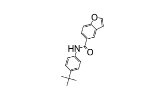 CC(C)(C)c1ccc(NC(=O)c2ccc3occc3c2)cc1